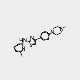 Cc1cccc(Nc2nc(-c3ccc(N4CCN(C)CC4)cc3)cs2)n1